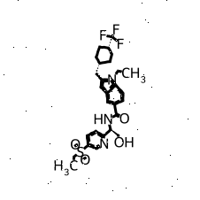 CCn1c(C[C@H]2CC[C@@H](C(F)(F)F)CC2)cc2cc(C(=O)N[C@@H](CO)c3ccc(S(=O)(=O)CC)cn3)ccc21